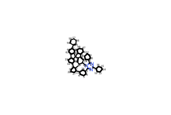 Cc1c(-c2cccc(-c3nc(-c4ccccc4)nc(-c4ccccc4)n3)c2)cccc1-c1ccc2c(c1)C1(C3=CCC(C)C=C3c3ccccc31)c1cc(C3=CCCC=C3)ccc1-2